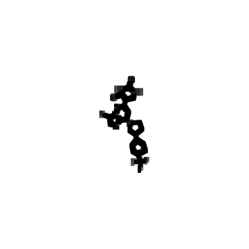 O=c1[nH]cc(-c2cc(N3CCC(c4ccc(C(F)(F)F)cc4)C3)c3ncc(F)n3n2)c(=O)[nH]1